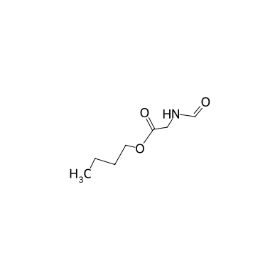 CCCCOC(=O)CNC=O